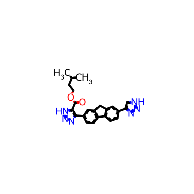 CC(C)CCOC(=O)c1[nH]nnc1-c1ccc2c(c1)Cc1cc(-c3c[nH]nn3)ccc1-2